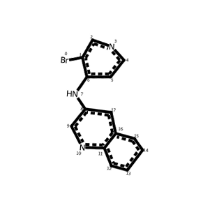 Brc1cnccc1Nc1cnc2ccccc2c1